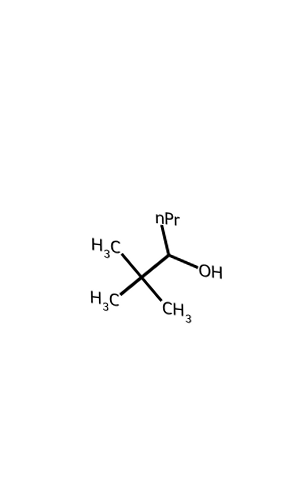 [CH2]CCC(O)C(C)(C)C